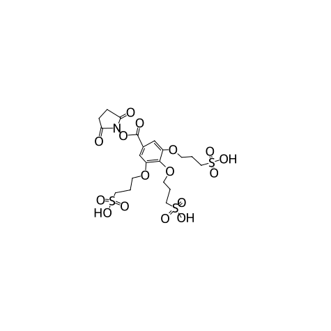 O=C(ON1C(=O)CCC1=O)c1cc(OCCCS(=O)(=O)O)c(OCCCS(=O)(=O)O)c(OCCCS(=O)(=O)O)c1